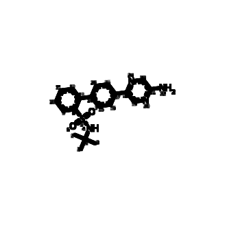 CC(C)(C)NS(=O)(=O)c1ccccc1-c1ccc(-c2cnc(N)cn2)cc1